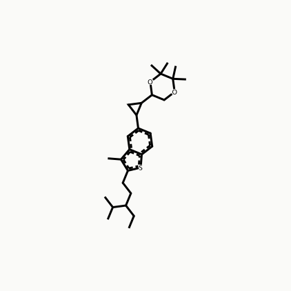 CCC(CCc1sc2ccc(C3CC3C3COC(C)(C)C(C)(C)O3)cc2c1C)C(C)C